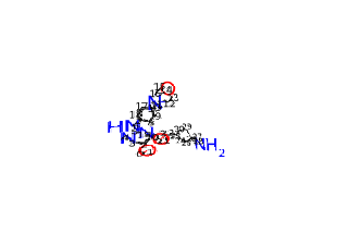 COc1cnc(Nc2ccc(N3CCOCC3)cc2)nc1OCC1CCC(CN)CC1